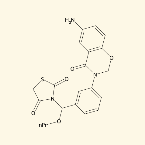 CCCOC(c1cccc(N2COc3ccc(N)cc3C2=O)c1)N1C(=O)CSC1=O